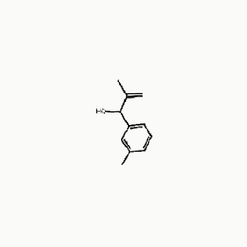 C=C(C)C(O)c1cccc(C)c1